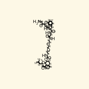 COC1C(OC(=O)NCCOCCOCCNC(=O)CNC(=O)[C@H](Cc2ccccc2)NNCC(=O)C(=O)CN)CC[C@]2(CO2)C1C1(C)O[C@@H]1CC=C(C)C